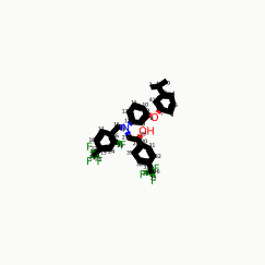 CC(C)c1cccc(Oc2cccc(N(Cc3ccc(C(F)(F)F)cc3F)CC(O)c3ccc(C(F)(F)F)cc3)c2)c1